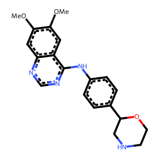 COc1cc2ncnc(Nc3ccc(C4CNCCO4)cc3)c2cc1OC